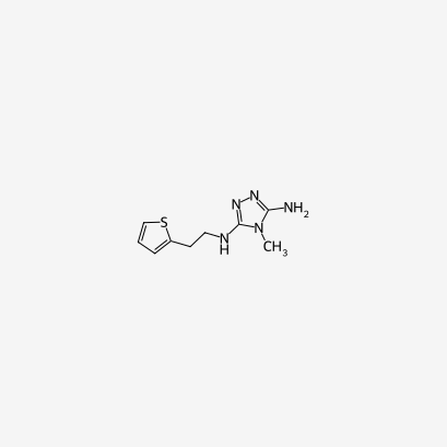 Cn1c(N)nnc1NCCc1cccs1